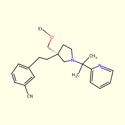 CCOC[C@]1(CCc2cccc(C#N)c2)CCN(C(C)(C)c2ccccn2)C1